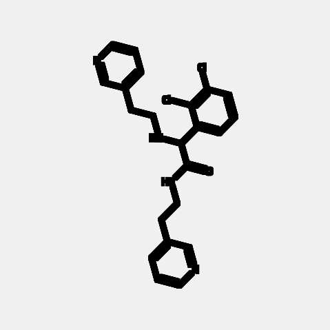 O=C(NCCc1cccnc1)C(NCCc1cccnc1)c1cccc(Cl)c1Cl